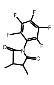 CC1C(=O)N(c2c(F)c(F)c(F)c(F)c2F)C(=O)C1C